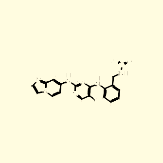 O=[SH](=O)NCc1ccccc1Nc1nc(Nc2ccn3ccnc3c2)ncc1Cl